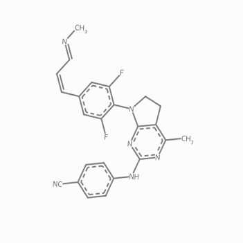 C/N=C/C=C\c1cc(F)c(N2CCc3c(C)nc(Nc4ccc(C#N)cc4)nc32)c(F)c1